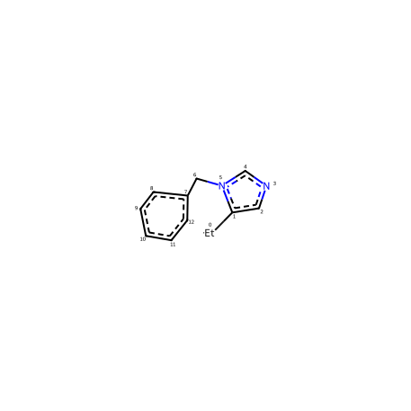 C[CH]c1cncn1Cc1ccccc1